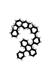 c1ccc(-c2c3ccccc3c(-c3cccc(-c4ccc5sc6cc7ccc8oc9ccccc9c8c7cc6c5c4)c3)c3ccccc23)cc1